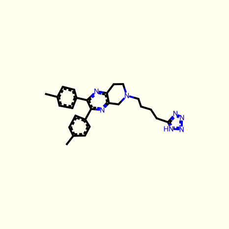 Cc1ccc(-c2nc3c(nc2-c2ccc(C)cc2)CN(CCCCc2nnn[nH]2)CC3)cc1